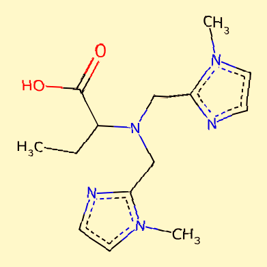 CCC(C(=O)O)N(Cc1nccn1C)Cc1nccn1C